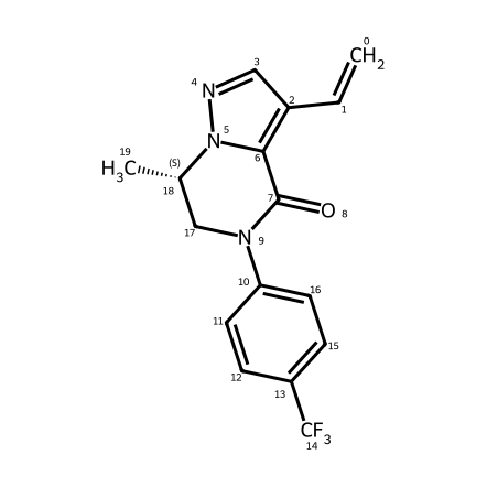 C=Cc1cnn2c1C(=O)N(c1ccc(C(F)(F)F)cc1)C[C@@H]2C